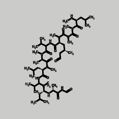 CN[C@@H](CC(C)C)C(=O)N(C)C(=O)N(C)C(=O)N(C)[C@@H](C[C@H](C)CC=O)C(=O)NC(C(=O)N(C)[C@H](C)C(=O)N(C)[C@@H](CC(C)C)C(=O)NC(C(C)C)N(C)[C@@H](CC(C)C)N[C@H](C)C(=O)NC=O)C(C)C